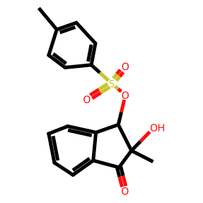 Cc1ccc(S(=O)(=O)OC2c3ccccc3C(=O)C2(C)O)cc1